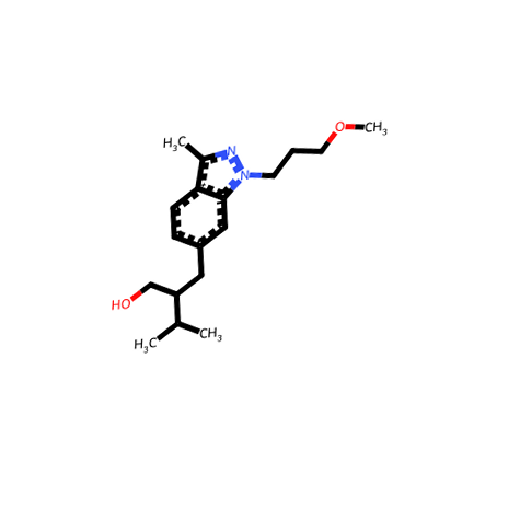 COCCCn1nc(C)c2ccc(CC(CO)C(C)C)cc21